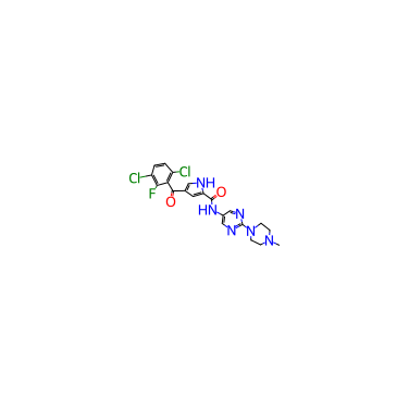 CN1CCN(c2ncc(NC(=O)c3cc(C(=O)c4c(Cl)ccc(Cl)c4F)c[nH]3)cn2)CC1